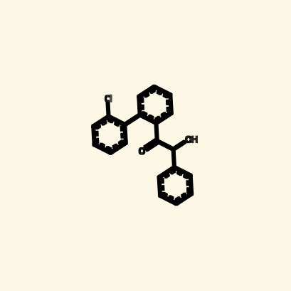 O=C(c1ccccc1-c1ccccc1Cl)C(O)c1ccccc1